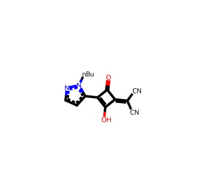 CCCCn1nccc1C1=C(O)C(=C(C#N)C#N)C1=O